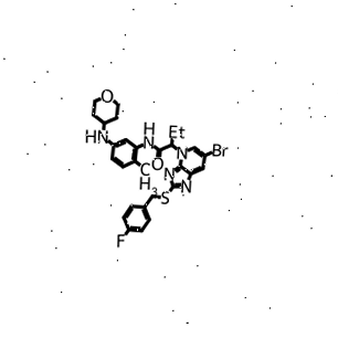 CCC(C(=O)Nc1cc(NC2CCOCC2)ccc1C)n1cc(Br)cc2nc(SCc3ccc(F)cc3)nc1-2